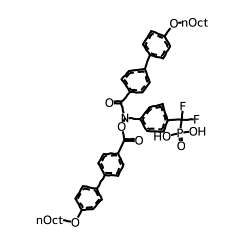 CCCCCCCCOc1ccc(-c2ccc(C(=O)ON(C(=O)c3ccc(-c4ccc(OCCCCCCCC)cc4)cc3)c3ccc(C(F)(F)P(=O)(O)O)cc3)cc2)cc1